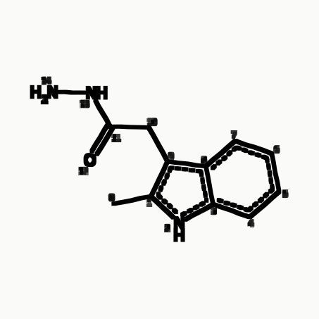 Cc1[nH]c2ccccc2c1CC(=O)NN